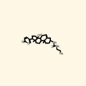 CC12CCC(NC(=O)NCCO)CC1CCC1C2CCC2(C)C(c3ccc(=O)oc3)CCC12O